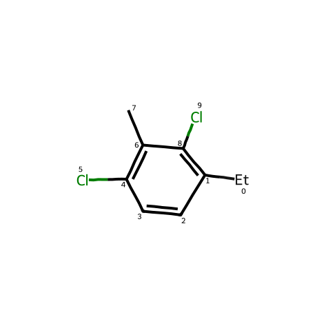 CCc1ccc(Cl)c(C)c1Cl